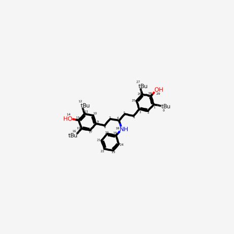 CC(C)(C)c1cc(CCC(CCc2cc(C(C)(C)C)c(O)c(C(C)(C)C)c2)Nc2ccccc2)cc(C(C)(C)C)c1O